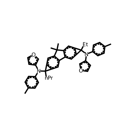 CCCC1(N(c2ccc(C)cc2)c2ccoc2)c2cc3c(cc21)C(C)(C)c1cc2c(cc1-3)C2(CC)N(c1ccc(C)cc1)c1ccoc1